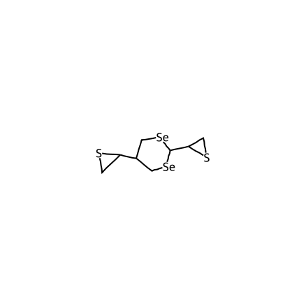 C1[Se]C(C2CS2)[Se]CC1C1CS1